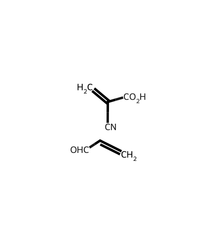 C=C(C#N)C(=O)O.C=CC=O